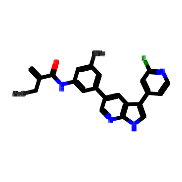 C=C(COC)C(=O)Nc1cc(OC)cc(-c2cnc3[nH]cc(-c4ccnc(F)c4)c3c2)c1